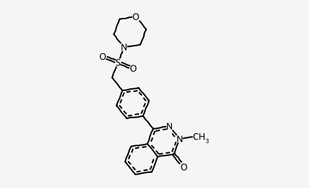 Cn1nc(-c2ccc(CS(=O)(=O)N3CCOCC3)cc2)c2ccccc2c1=O